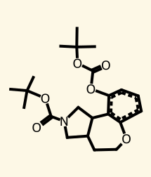 CC(C)(C)OC(=O)Oc1cccc2c1C1CN(C(=O)OC(C)(C)C)CC1CCO2